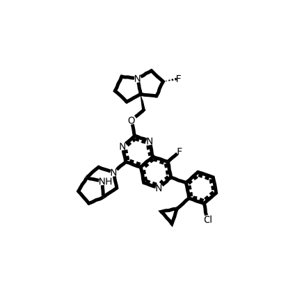 Fc1c(-c2cccc(Cl)c2C2CC2)ncc2c(N3CC4CCC(C3)N4)nc(OC[C@@]34CCCN3C[C@H](F)C4)nc12